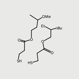 CCCCC(CC)COC(=O)CCS.COC(C)CCOC(=O)CCS